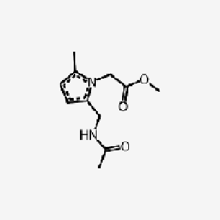 COC(=O)Cn1c(C)ccc1CNC(C)=O